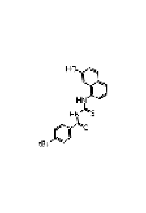 CC(C)(C)c1ccc(C(=O)NC(=S)Nc2cccc3ccc(O)cc23)cc1